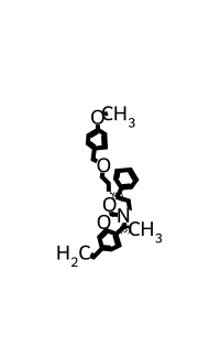 C=Cc1ccc([C@H](C)N2CC[C@](CCCOCc3ccc(OC)cc3)(c3ccccc3)OC2=O)cc1